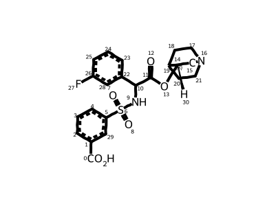 O=C(O)c1cccc(S(=O)(=O)NC(C(=O)O[C@H]2CN3CCC2CC3)c2cccc(F)c2)c1